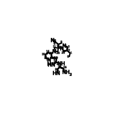 CCc1cnn(C2(C(C)C#N)CN(c3ccc[nH]/c3=N\C(=N)N/C(C=N)=C/N)C2)c1